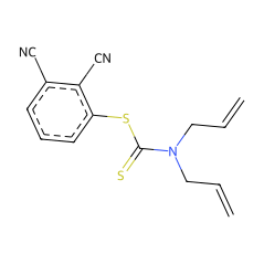 C=CCN(CC=C)C(=S)Sc1cccc(C#N)c1C#N